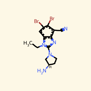 CCn1c(N2CC[C@@H](N)C2)nc2c(C#N)c(Br)c(Br)cc21